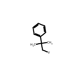 CC(C)([CH2][V])c1ccccc1